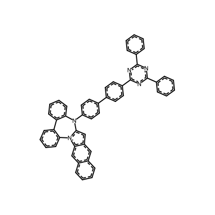 c1ccc(-c2nc(-c3ccccc3)nc(-c3ccc(-c4ccc(N5c6ccccc6-c6ccccc6-n6c5cc5cc7ccccc7cc56)cc4)cc3)n2)cc1